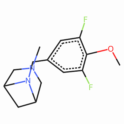 COc1c(F)cc(CN2C3CC2CN(C)C3)cc1F